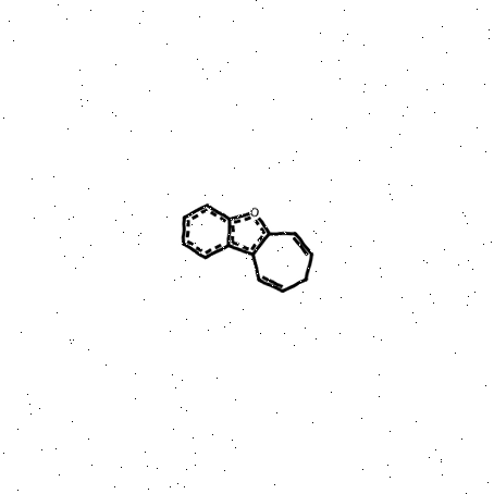 C1=Cc2oc3ccccc3c2C=CC1